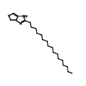 CCCCCCCCCCCCCCCCCc1nc2cscc2[nH]1